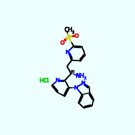 CS(=O)(=O)c1cccc(C[C@H](N)c2ncccc2-n2ncc3ccccc32)n1.Cl